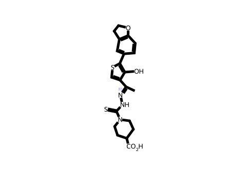 C/C(=N\NC(=S)N1CCC(C(=O)O)CC1)c1csc(-c2ccc3c(c2)CCO3)c1O